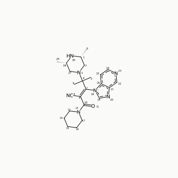 C[C@@H]1CN(C(C)(C)C(=C(C#N)C(=O)N2CCCCC2)n2cnc3cnccc32)C[C@H](C)N1